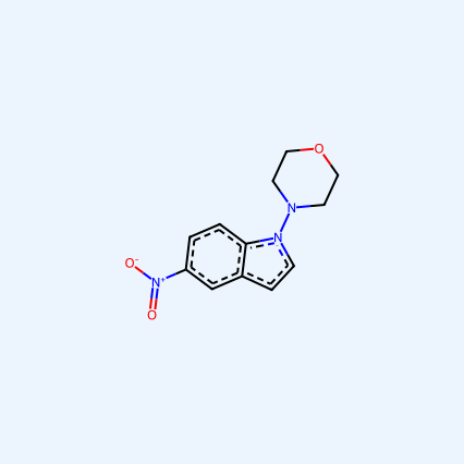 O=[N+]([O-])c1ccc2c(ccn2N2CCOCC2)c1